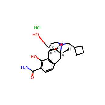 Cl.NC(=O)c1ccc2c(c1O)[C@]13CCN(CC4CCC4)[C@H](C2)[C@@H]1CC[C@H](O)C3